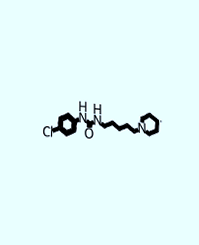 O=C(NCCCCCN1CC[CH]CC1)Nc1ccc(Cl)cc1